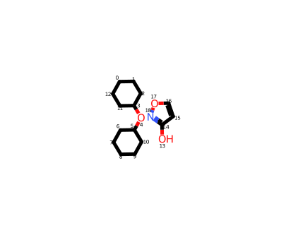 C1CCC(OC2CCCCC2)CC1.Oc1ccon1